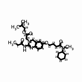 CCC(=O)NC1=Nc2ccc(OCCCC(=O)N(C)C3CCCCC3)cc2CN1CC(=O)OCC(C)C